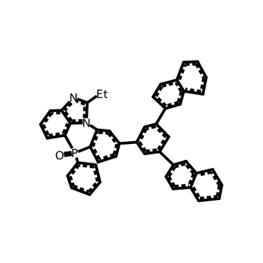 CCc1nc2cccc3c2n1-c1cc(-c2cc(-c4ccc5ccccc5c4)cc(-c4ccc5ccccc5c4)c2)ccc1P3(=O)c1ccccc1